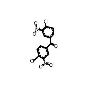 O=C(c1ccc(Cl)c([N+](=O)[O-])c1)c1ccc(Cl)c([N+](=O)[O-])c1